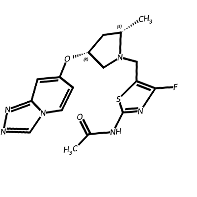 CC(=O)Nc1nc(F)c(CN2C[C@H](Oc3ccn4cnnc4c3)C[C@@H]2C)s1